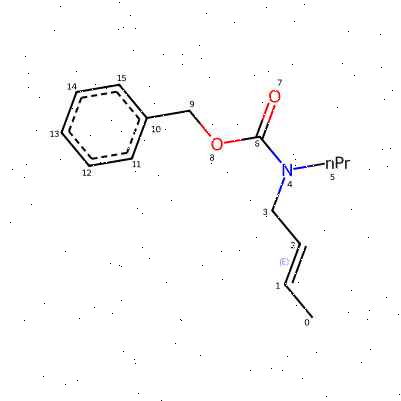 C/C=C/CN(CCC)C(=O)OCc1ccccc1